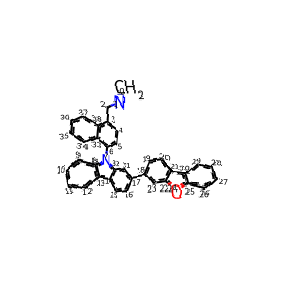 C=NCc1ccc(-n2c3ccccc3c3ccc(-c4ccc5c(c4)oc4ccccc45)cc32)c2ccccc12